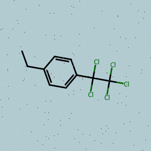 C[CH]c1ccc(C(Cl)(Cl)C(Cl)(Cl)Cl)cc1